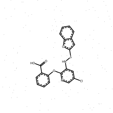 O=C(O)c1ccccc1Oc1ncc(Cl)cc1NSc1cc2ccccc2o1